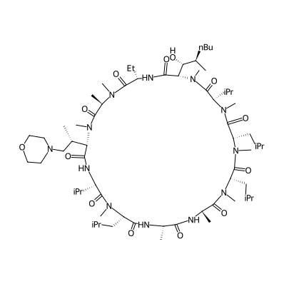 CCCC[C@@H](C)[C@@H](O)[C@H]1C(=O)N[C@@H](CC)C(=O)N(C)[C@H](C)C(=O)N(C)[C@@H]([C@@H](C)CN2CCOCC2)C(=O)N[C@@H](C(C)C)C(=O)N(C)[C@@H](CC(C)C)C(=O)N[C@@H](C)C(=O)N[C@H](C)C(=O)N(C)[C@@H](CC(C)C)C(=O)N(C)[C@@H](CC(C)C)C(=O)N(C)[C@@H](C(C)C)C(=O)N1C